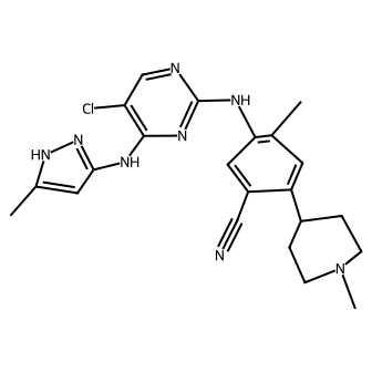 Cc1cc(Nc2nc(Nc3cc(C#N)c(C4CCN(C)CC4)cc3C)ncc2Cl)n[nH]1